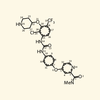 CNC(=O)c1cc(Oc2ccc(NC(=O)Nc3ccc(C(F)(F)F)c(OC4CCNCC4)c3Cl)cc2)ccn1